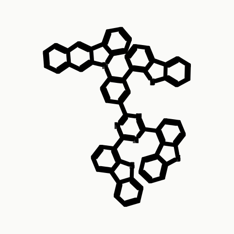 c1ccc2cc3c(cc2c1)c1ccccc1n3-c1ccc(-c2nc(-c3cccc4c3sc3ccccc34)nc(-c3cccc4sc5ccccc5c34)n2)cc1-c1cccc2c1sc1ccccc12